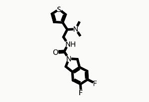 CN(C)C(CNC(=O)N1Cc2cc(F)c(F)cc2C1)c1ccsc1